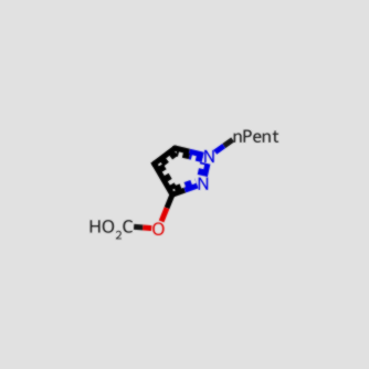 CCCCCn1ccc(OC(=O)O)n1